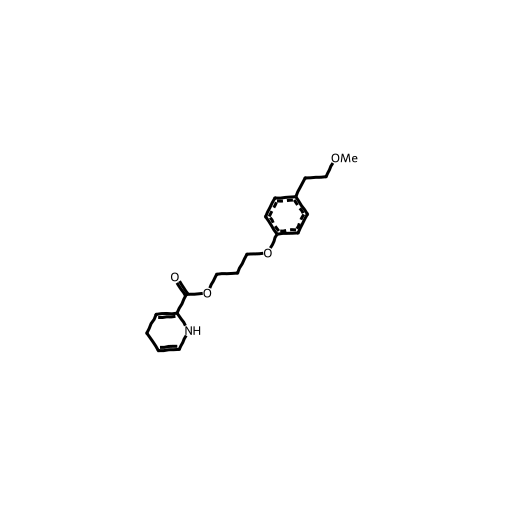 COCCc1ccc(OCCCOC(=O)C2=CCC=CN2)cc1